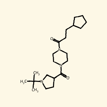 CC(C)(C)N1CCC(C(=O)N2CCN(C(=O)CCC3CCCC3)CC2)C1